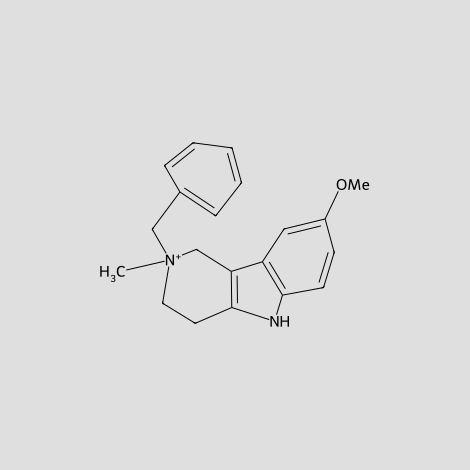 COc1ccc2[nH]c3c(c2c1)C[N+](C)(Cc1ccccc1)CC3